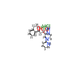 Cl.Cl.O.c1ccc(N2CCNC(CCC3OCCc4ccccc43)C2)nc1